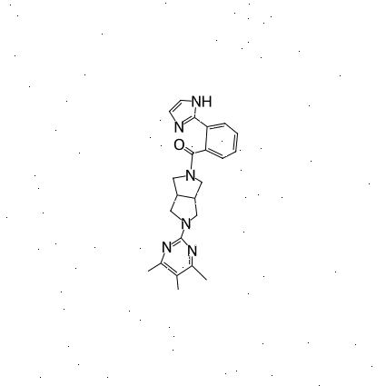 Cc1nc(N2CC3CN(C(=O)c4ccccc4-c4ncc[nH]4)CC3C2)nc(C)c1C